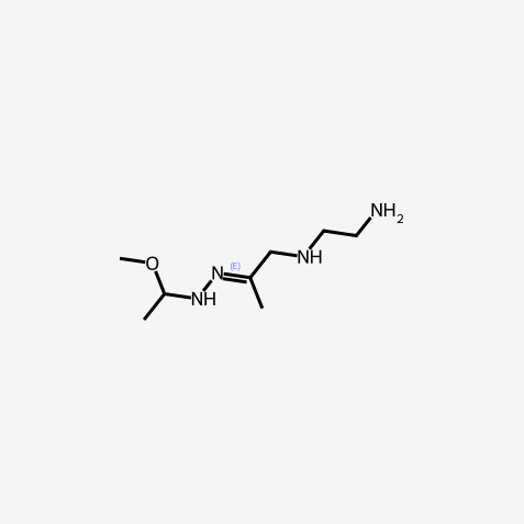 COC(C)N/N=C(\C)CNCCN